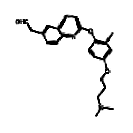 Cc1cc(OCCCN(C)C)ccc1Oc1ccc2cc(CC=O)ccc2n1